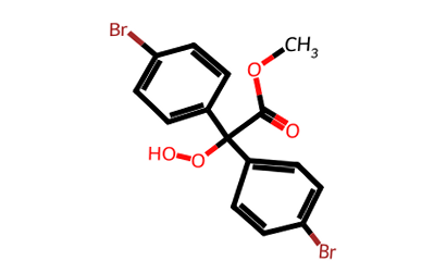 COC(=O)C(OO)(c1ccc(Br)cc1)c1ccc(Br)cc1